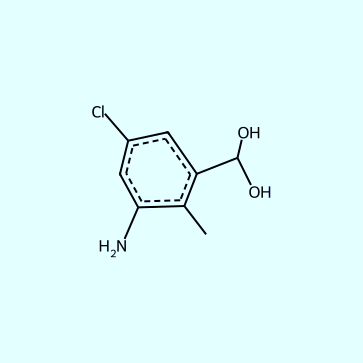 Cc1c(N)cc(Cl)cc1C(O)O